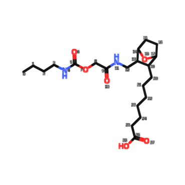 CCCCNC(=O)OCC(=O)NCC1C2CCC(O2)C1CCCCCCC(=O)O